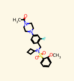 COc1ccccc1S(=O)(=O)N(Cc1ccc(N2CCN(C(C)=O)CC2)cc1F)C1CCC1